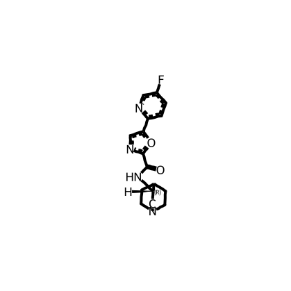 O=C(N[C@H]1CN2CCC1CC2)c1ncc(-c2ccc(F)cn2)o1